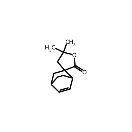 CC1(C)CC2(CC3C=CC2CC3)C(=O)O1